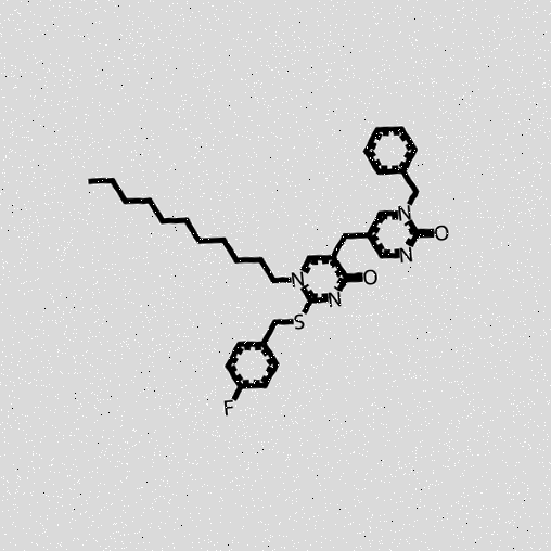 CCCCCCCCCCCn1cc(Cc2cnc(=O)n(Cc3ccccc3)c2)c(=O)nc1SCc1ccc(F)cc1